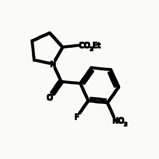 CCOC(=O)C1CCCN1C(=O)c1cccc([N+](=O)[O-])c1F